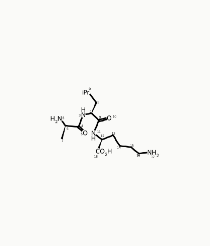 CC(C)C[C@H](NC(=O)[C@@H](C)N)C(=O)N[C@@H](CCCCN)C(=O)O